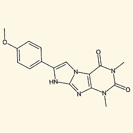 COc1ccc(-c2cn3c(nc4c3c(=O)n(C)c(=O)n4C)[nH]2)cc1